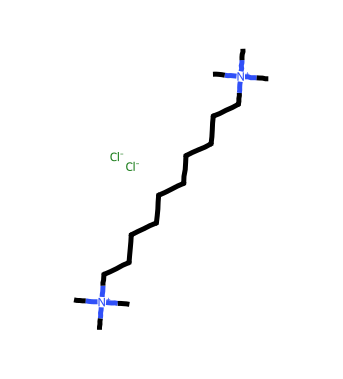 C[N+](C)(C)CCCCCCCCCC[N+](C)(C)C.[Cl-].[Cl-]